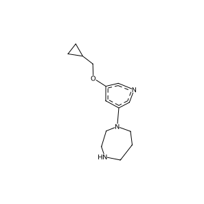 c1ncc(N2CCCNCC2)cc1OCC1CC1